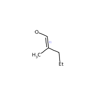 CCC/C(C)=C/[O]